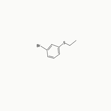 CCSc1cccc(Br)c1